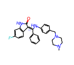 CN1CCN(Cc2ccc(N/C(=C3\C(=O)Nc4cc(F)ccc43)c3ccccc3)cc2)CC1